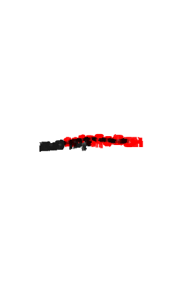 CC(C)COCCOCCOCCOCCOCCOCCOCCOCCO.O=S(=O)(O)O